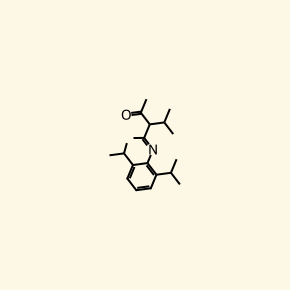 CC(=O)C(/C(C)=N/c1c(C(C)C)cccc1C(C)C)C(C)C